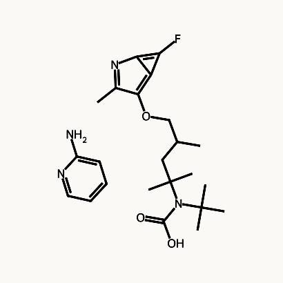 Cc1nc2c(F)c-2c1OCC(C)CC(C)(C)N(C(=O)O)C(C)(C)C.Nc1ccccn1